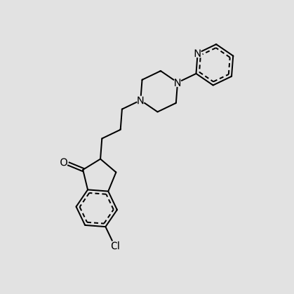 O=C1c2ccc(Cl)cc2CC1CCCN1CCN(c2ccccn2)CC1